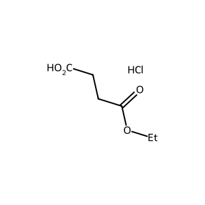 CCOC(=O)CCC(=O)O.Cl